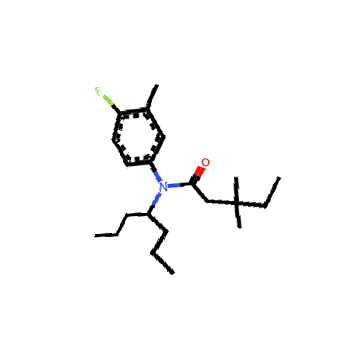 CCCC(CCC)N(C(=O)CC(C)(C)CC)c1ccc(F)c(C)c1